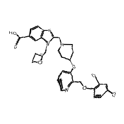 O=C(O)c1ccc2nc(CN3CCC(Oc4cccnc4COc4ccc(Cl)cc4Cl)CC3)n(C[C@@H]3CCO3)c2c1